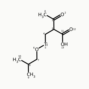 CC(=O)C([CH2][Ti][O]CC(C)C)C(=O)O